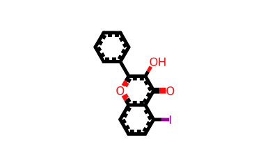 O=c1c(O)c(-c2ccccc2)oc2cccc(I)c12